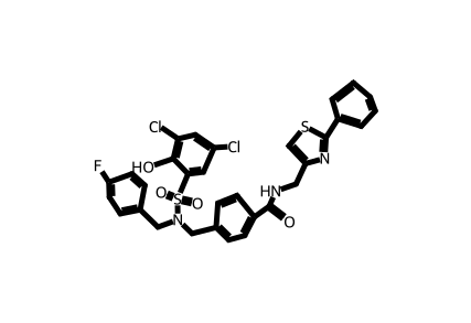 O=C(NCc1csc(-c2ccccc2)n1)c1ccc(CN(Cc2ccc(F)cc2)S(=O)(=O)c2cc(Cl)cc(Cl)c2O)cc1